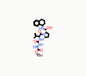 C=C(C)C(NC(=O)NNC(=O)OC(C)(C)C)C(=O)N1CCC[C@H]1C(O)N[C@@H]1CCCc2ccccc21